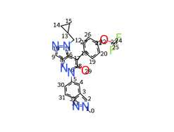 Cn1cc2cc(-n3nc4cnn(CC5CC5)c4c(-c4ccc(OC(F)F)cc4)c3=O)ccc2n1